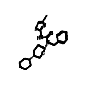 Cc1csc(NC(=O)N(Cc2ccccc2)[C@H]2CC[C@@H](C3CCCCC3)CC2)n1